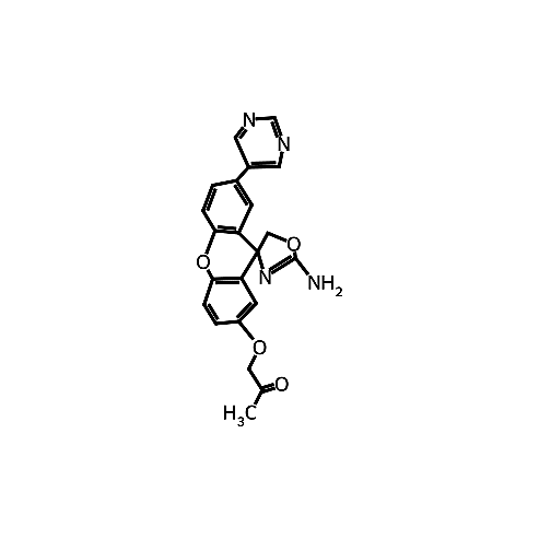 CC(=O)COc1ccc2c(c1)C1(COC(N)=N1)c1cc(-c3cncnc3)ccc1O2